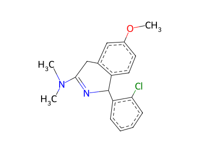 COc1ccc2c(c1)CC(N(C)C)=NC2c1ccccc1Cl